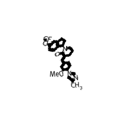 COc1cc(/C=C2\CCCN([C@H]3CCc4cc(OC(F)(F)F)ccc43)C2=O)ccc1-n1cnc(C)c1